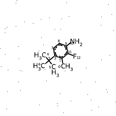 Cc1c(C(C)(C)C)ccc(N)c1F